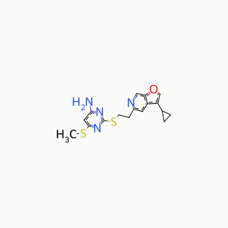 CSc1cc(N)nc(SCCc2cc3c(C4CC4)coc3cn2)n1